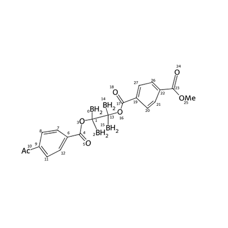 BC(B)(OC(=O)c1ccc(C(C)=O)cc1)C(B)(B)OC(=O)c1ccc(C(=O)OC)cc1